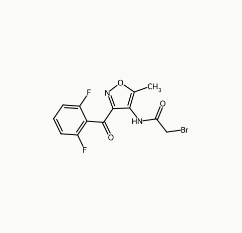 Cc1onc(C(=O)c2c(F)cccc2F)c1NC(=O)CBr